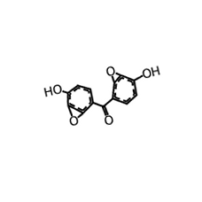 O=C(c1ccc(O)c2c1O2)c1ccc(O)c2c1O2